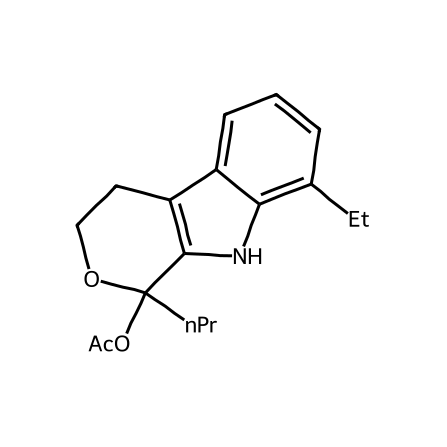 CCCC1(OC(C)=O)OCCc2c1[nH]c1c(CC)cccc21